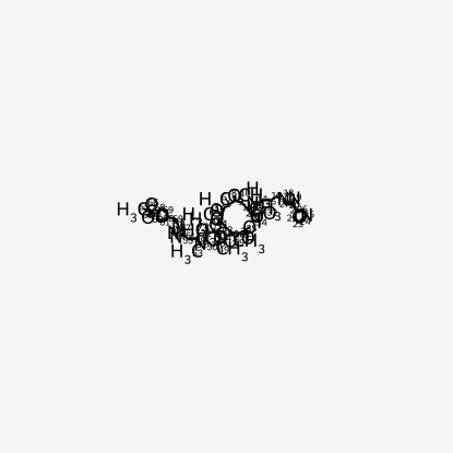 CO[C@]1(C)C[C@@H](C)C(=O)[C@H](C)[C@@H](NCCCCn2cnc(-c3cccnc3)c2)[C@](C)(OC=O)[C@@H](I)OC(=O)[C@H](C)C(=O)[C@H](C)[C@H]1O[C@@H]1O[C@H](C)C[C@H](N(C)CCc2cn(Cc3ccc(S(C)(=O)=O)cc3)nn2)[C@H]1O